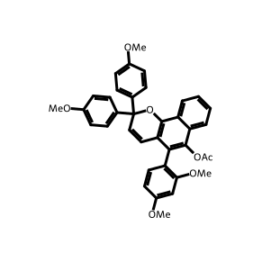 COc1ccc(C2(c3ccc(OC)cc3)C=Cc3c(-c4ccc(OC)cc4OC)c(OC(C)=O)c4ccccc4c3O2)cc1